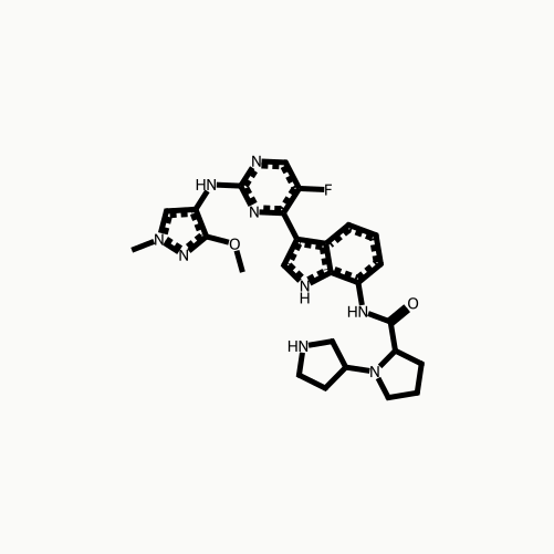 COc1nn(C)cc1Nc1ncc(F)c(-c2c[nH]c3c(NC(=O)C4CCCN4C4CCNC4)cccc23)n1